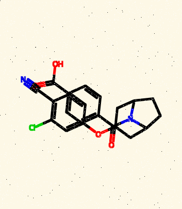 N#Cc1ccc(OC2CC3CCC(C2)N3C(=O)c2ccc(C(=O)O)cc2)cc1Cl